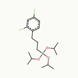 CC(C)O[Si](CCCc1ccc(F)cc1F)(OC(C)C)OC(C)C